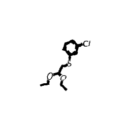 CCOC(CSc1cccc(Cl)c1)OCC